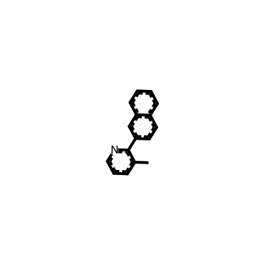 Cc1cccnc1-c1ccc2ccccc2c1